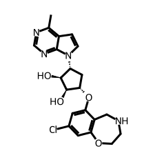 Cc1ncnc2c1ccn2[C@@H]1C[C@H](Oc2cc(Cl)cc3c2CNCCO3)[C@@H](O)[C@H]1O